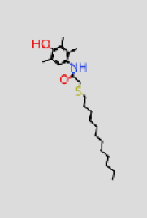 CCCCCCCCCCCCSCC(=O)Nc1cc(C)c(O)c(C)c1C